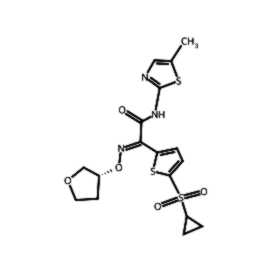 Cc1cnc(NC(=O)/C(=N/O[C@@H]2CCOC2)c2ccc(S(=O)(=O)C3CC3)s2)s1